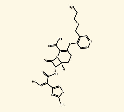 NCCSCc1cnccc1SC1=C(C(=O)O)N2C(=O)[C@@H](NC(=O)/C(=N\O)c3nsc(N)n3)[C@H]2CC1